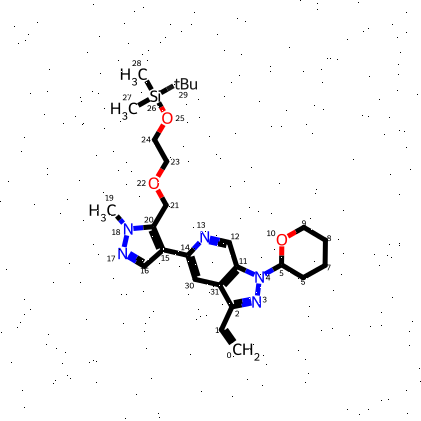 C=Cc1nn(C2CCCCO2)c2cnc(-c3cnn(C)c3COCCO[Si](C)(C)C(C)(C)C)cc12